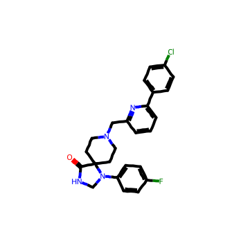 O=C1NCN(c2ccc(F)cc2)C12CCN(Cc1cccc(-c3ccc(Cl)cc3)n1)CC2